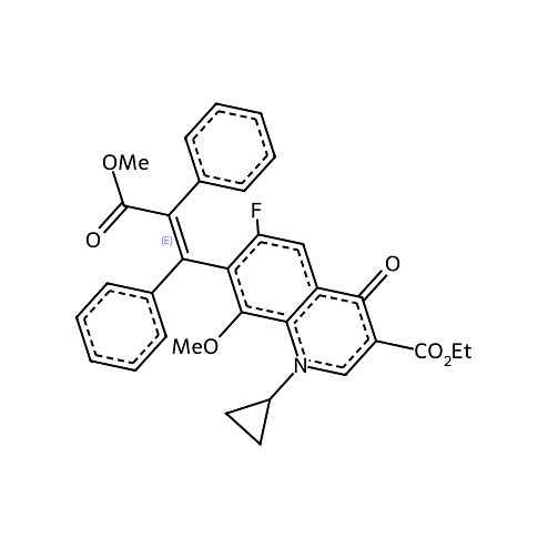 CCOC(=O)c1cn(C2CC2)c2c(OC)c(/C(=C(/C(=O)OC)c3ccccc3)c3ccccc3)c(F)cc2c1=O